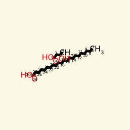 CC(O)CC(=O)O.CCCCCCCCCCCCCC=CC=CC=CC=CC(=O)O